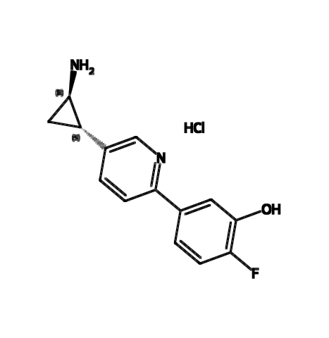 Cl.N[C@@H]1C[C@H]1c1ccc(-c2ccc(F)c(O)c2)nc1